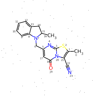 Cc1sc2nc(CN3c4ccccc4CC3C)cc(=O)n2c1C#N